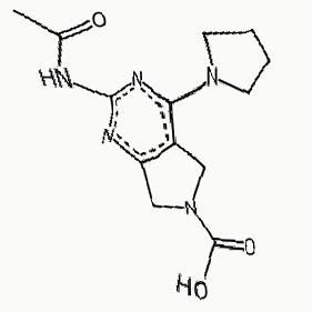 CC(=O)Nc1nc2c(c(N3CCCC3)n1)CN(C(=O)O)C2